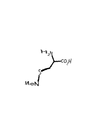 CNSCC(N)C(=O)O